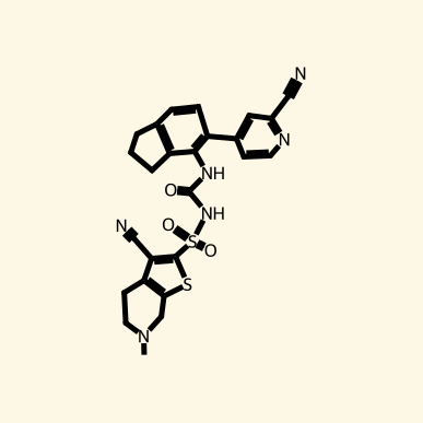 CN1CCc2c(sc(S(=O)(=O)NC(=O)Nc3c(-c4ccnc(C#N)c4)ccc4c3CCC4)c2C#N)C1